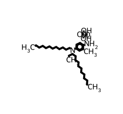 CCCCCCCCCCCCN(c1ccc(N)c(C)c1)C(CC)CCCCCCCCCCC.O=S(=O)(O)O